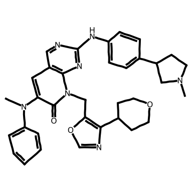 CN1CCC(c2ccc(Nc3ncc4cc(N(C)c5ccccc5)c(=O)n(Cc5ocnc5C5CCOCC5)c4n3)cc2)C1